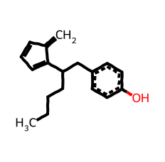 C=C1C=CC=C1C(CCCC)Cc1ccc(O)cc1